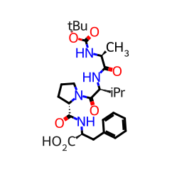 CC(C)[C@H](NC(=O)[C@H](C)NC(=O)OC(C)(C)C)C(=O)N1CCC[C@H]1C(=O)N[C@@H](Cc1ccccc1)C(=O)O